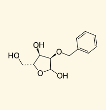 OC[C@H]1OC(O)[C@H](OCc2ccccc2)[C@@H]1O